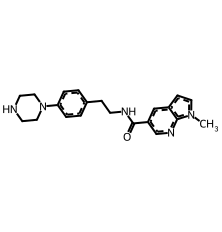 Cn1ccc2cc(C(=O)NCCc3ccc(N4CCNCC4)cc3)cnc21